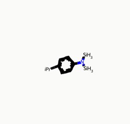 CC(C)c1ccc(N([SiH3])[SiH3])cc1